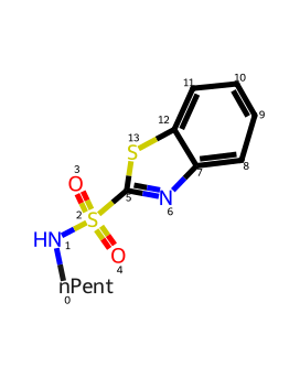 CCCCCNS(=O)(=O)c1nc2ccccc2s1